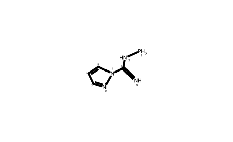 N=C(NP)n1cccn1